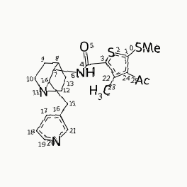 CSc1sc(C(=O)NC2C3CCN(CC3)C2Cc2cccnc2)c(C)c1C(C)=O